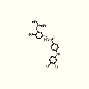 CCCN(CCC)Cc1cc(CNC(=O)c2ccc(Nc3ccc(Cl)c(Cl)c3)cc2)ccc1O